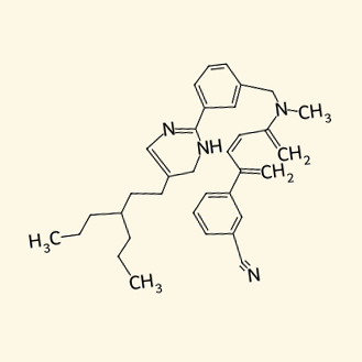 C=C(/C=C\C(=C)N(C)Cc1cccc(C2=NC=C(CCC(CCC)CCC)CN2)c1)c1cccc(C#N)c1